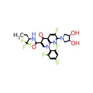 CC[C@@H](NC(=O)c1cn(-c2c(F)cc(F)cc2F)c2nc(N3C[C@@H](O)[C@@H](O)C3)c(F)cc2c1=O)C(F)(F)F